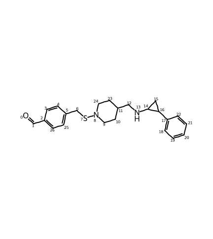 O=Cc1ccc(CSN2CCC(CNC3CC3c3ccccc3)CC2)cc1